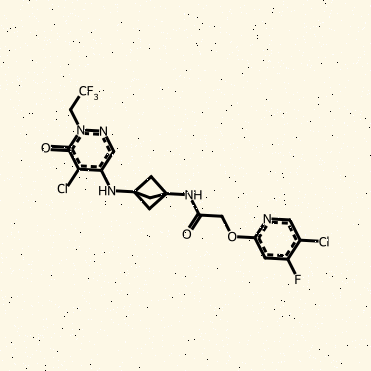 O=C(COc1cc(F)c(Cl)cn1)NC12CC(Nc3cnn(CC(F)(F)F)c(=O)c3Cl)(C1)C2